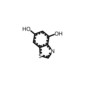 Oc1cc(O)c2ncsc2c1